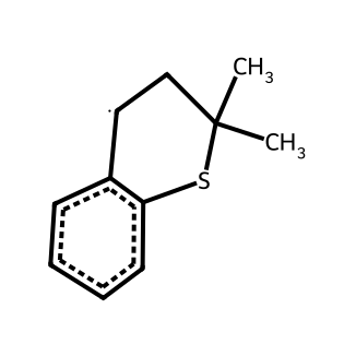 CC1(C)C[CH]c2ccccc2S1